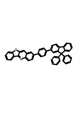 c1ccc(C2(c3ccccc3)c3ccccc3-c3ccc(-c4ccc(-c5ccc6nc7c(cc6c5)sc5ccccc57)cc4)cc32)cc1